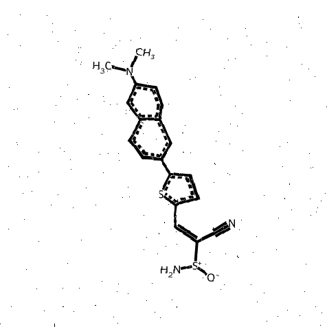 CN(C)c1ccc2cc(-c3ccc(/C=C(\C#N)[S+](N)[O-])s3)ccc2c1